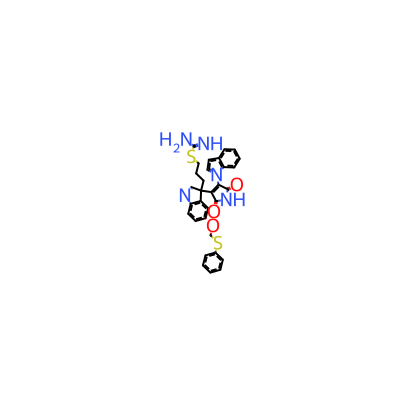 N=C(N)SCCCC1(C2=C(n3ccc4ccccc43)C(=O)NC2=O)C=Nc2ccc(OCSc3ccccc3)cc21